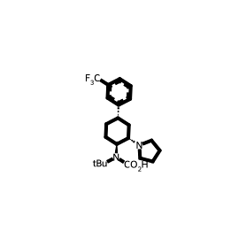 CC(C)(C)N(C(=O)O)[C@H]1CC[C@H](c2cccc(C(F)(F)F)c2)C[C@@H]1N1CCCC1